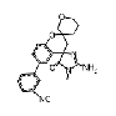 [C-]#[N+]c1cccc(-c2ccc3c(c2)C2(CC4(CCCOC4)O3)N=C(N)N(C)C2=O)c1